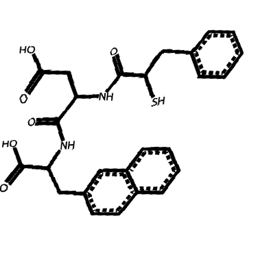 O=C(O)CC(NC(=O)C(S)Cc1ccccc1)C(=O)NC(Cc1ccc2ccccc2c1)C(=O)O